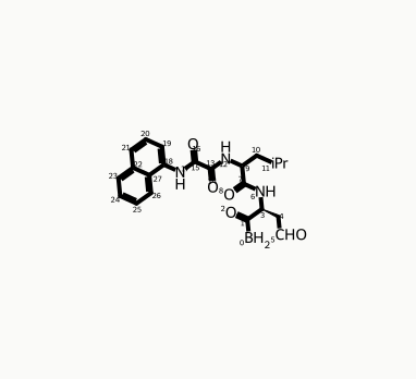 BC(=O)[C@H](CC=O)NC(=O)C(CC(C)C)NC(=O)C(=O)Nc1cccc2ccccc12